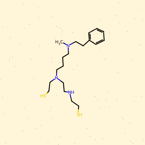 CN(CCCCN(CCS)CCNCCS)CCc1ccccc1